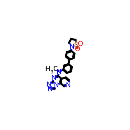 CN(c1cccc(-c2ccc(N3CCCS3(=O)=O)cc2)c1)c1nc2nncn2c2cnccc12